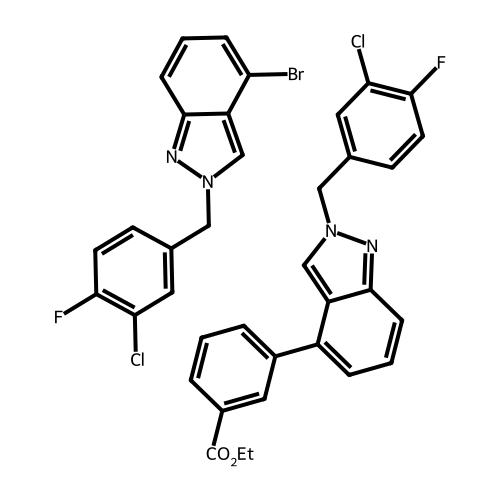 CCOC(=O)c1cccc(-c2cccc3nn(Cc4ccc(F)c(Cl)c4)cc23)c1.Fc1ccc(Cn2cc3c(Br)cccc3n2)cc1Cl